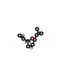 c1ccc(-c2cc(-c3ccc4c(c3)oc3ccccc34)nc(-c3cccc4oc5ccc(-c6ccc(-c7ccc8c(c7)c7ccccc7n8-c7ccccc7)cc6)cc5c34)n2)cc1